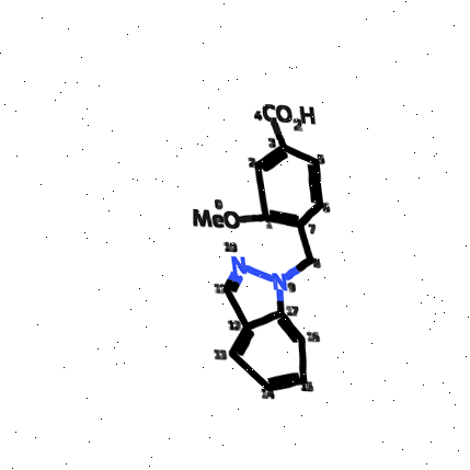 COc1cc(C(=O)O)ccc1Cn1ncc2ccccc21